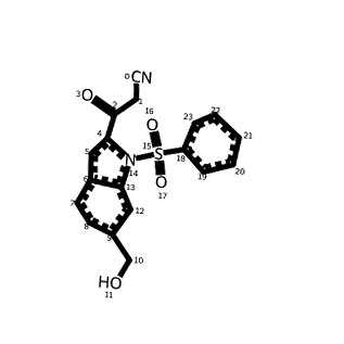 N#CCC(=O)c1cc2ccc(CO)cc2n1S(=O)(=O)c1ccccc1